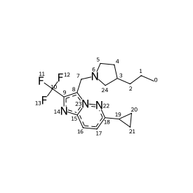 CCCC1CCN(Cc2c(C(F)(F)F)nc3ccc(C4CC4)nn23)C1